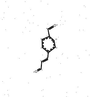 O=C/C=C/c1ccc(C=O)cc1